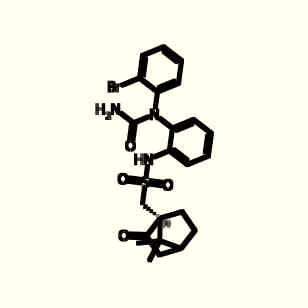 CC1(C)C2CC[C@]1(CS(=O)(=O)Nc1ccccc1N(C(N)=O)c1ccccc1Br)C(=O)C2